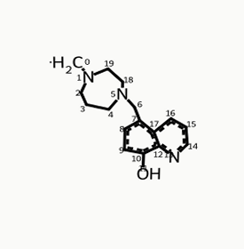 [CH2]N1CCCN(Cc2ccc(O)c3ncccc23)CC1